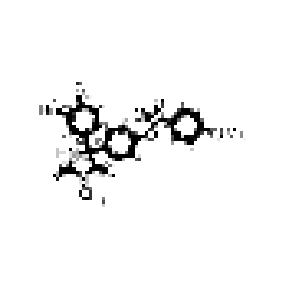 COc1ccc(S(=O)(=O)Oc2ccc(C3(c4ccc(F)c(Br)c4)NC(=S)N(C)C3=O)cc2)cc1